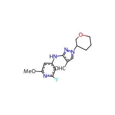 COc1cc(Nc2nn(C3CCCOC3)cc2C=O)cc(F)n1